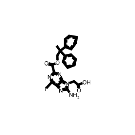 CC(COC(=O)c1nc(I)c2nc(N)n(CC(=O)O)c2n1)(c1ccccc1)c1ccccc1